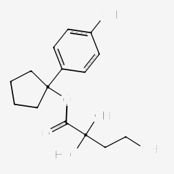 CCCC(C)(C)C(=O)OC1(c2ccc(C)cc2)CCCC1